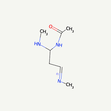 C/N=C/CC(NC)NC(C)=O